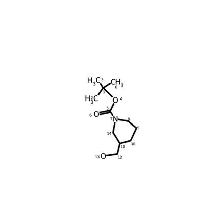 CC(C)(C)OC(=O)N1CCCC(C[O])C1